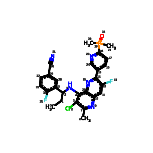 CCC(Nc1c(Cl)c(C)nc2cc(F)c(-c3ccc(P(C)(C)=O)nc3)nc12)c1cc(C#N)ccc1F